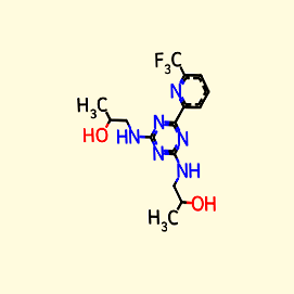 CC(O)CNc1nc(NCC(C)O)nc(-c2cccc(C(F)(F)F)n2)n1